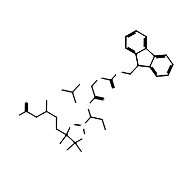 CCC(NC(=O)[C@H](CC(C)C)NC(=O)OCC1c2ccccc2-c2ccccc21)B1OC(C)(C)C(C)(CCC(C)CC(=O)O)O1